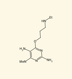 CCNCCCOc1nc(N)nc(NC)c1N